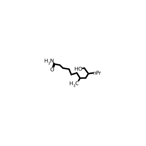 CCCC(CO)CC(C)CCCCCC(N)=O